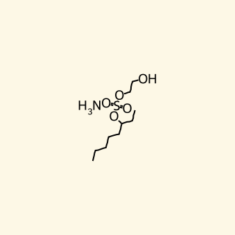 CCCCCC(CC)OS(=O)(=O)OCCO.N